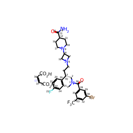 CN(C[C@@H](CCN1CC(N2CCC(C(N)=O)CC2)C1)c1ccc(F)cc1)C(=O)c1cc(Br)cc(C(F)(F)F)c1.O=C(O)/C=C\C(=O)O